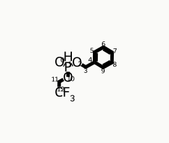 O=[PH](OCc1ccccc1)OCC(F)(F)F